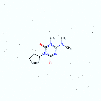 CN(C)c1nc(=O)n(C2C=CCC2)c(=O)n1C